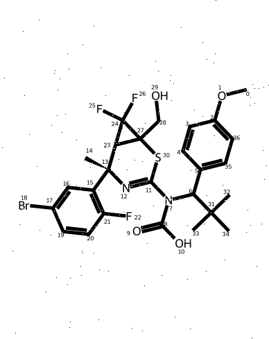 COc1ccc(C(N(C(=O)O)C2=N[C@](C)(c3cc(Br)ccc3F)C3C(F)(F)C3(CO)S2)C(C)(C)C)cc1